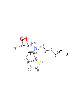 CCCCCn1nc(C(=O)O)c2c1-c1sccc1C2